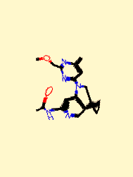 COCc1nc(C)cc(N2CC3(CC3)c3cnc(NC(C)=O)cc32)n1